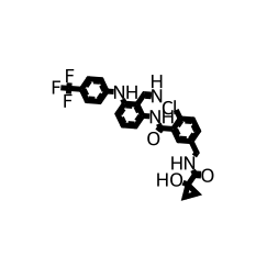 N=Cc1c(NC(=O)c2cc(CNC(=O)C3(O)CC3)ccc2Cl)cccc1Nc1ccc(C(F)(F)F)cc1